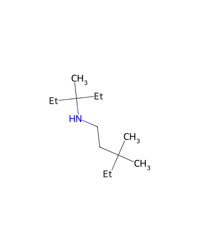 CCC(C)(C)CCNC(C)(CC)CC